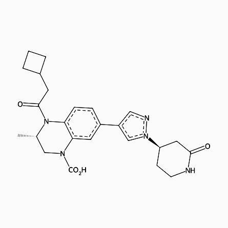 C[C@H]1CN(C(=O)O)c2cc(-c3cnn([C@@H]4CCNC(=O)C4)c3)ccc2N1C(=O)CC1CCC1